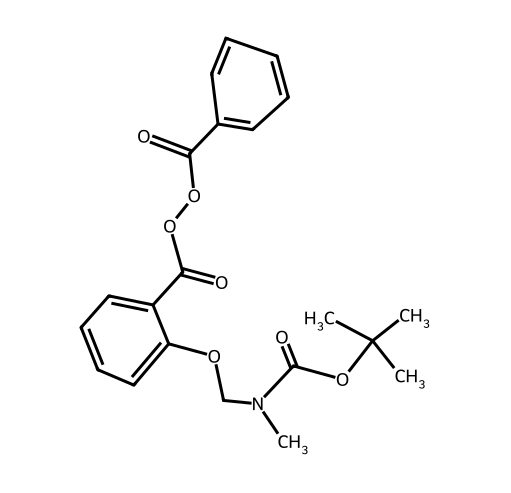 CN(COc1ccccc1C(=O)OOC(=O)c1ccccc1)C(=O)OC(C)(C)C